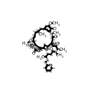 COc1cc2cc(c1Cl)N(C)C(=O)C[C@H](CC(=O)[C@H](C)N(C)C(O)CCC(C)SSc1ccccn1)[C@@]1(C)CC(C)(O1)[C@@H]1C[C@@](O)(NC(=O)O1)[C@H](OC)/C=C/C=C(\C)C2